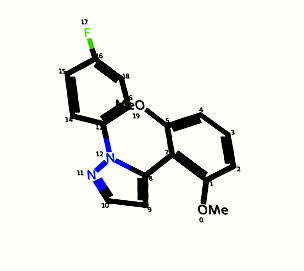 COc1cccc(OC)c1-c1ccnn1-c1ccc(F)cc1